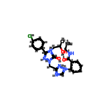 CC(C)(C)CNC(=O)c1ccccc1-n1cnc(Cn2nc(-c3ccc(Cl)cc3)n(CC(O)C(F)(F)F)c2=O)n1